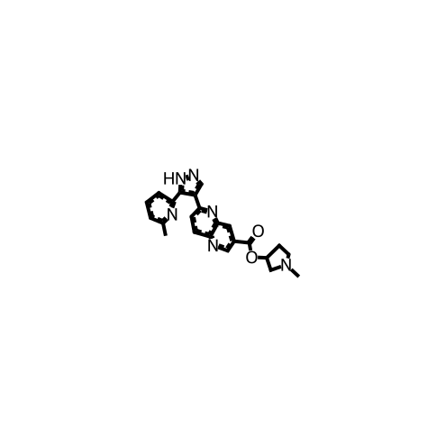 Cc1cccc(-c2[nH]ncc2-c2ccc3ncc(C(=O)OC4CCN(C)C4)cc3n2)n1